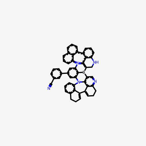 N#Cc1cccc(-c2cc3c4c(c2)-n2c5c6c(cccc6c6cccc7cccc2c76)NCC=5B4c2cnc4c5c2N3c2cccc3c2C(=CCC3)C5=CCC4)c1